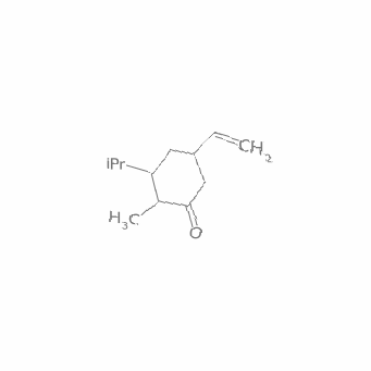 C=CC1CC(=O)C(C)C(C(C)C)C1